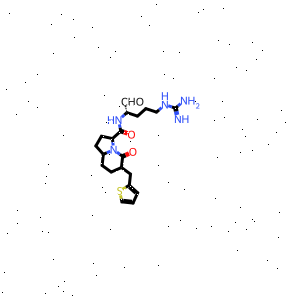 N=C(N)NCCC[C@@H](C=O)NC(=O)C1CCC2CCC(Cc3cccs3)C(=O)N21